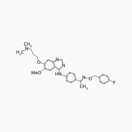 COc1cc2c(Nc3ccc(C(C)=NOCc4ccc(F)cc4)cc3)ncnc2cc1OCCCN(C)C